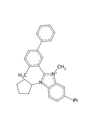 Cc1ccc(-c2ccccc2)cc1-c1n(C2CCCC2)c2ccc(C(C)C)cc2[n+]1C